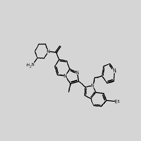 C=C(c1ccn2c(C)c(-c3cc4ccc(CC)cc4n3Cc3ccncc3)nc2c1)N1CCCC(N)C1